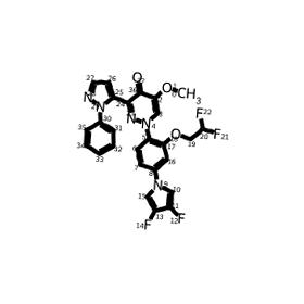 COc1cn(-c2ccc(-n3cc(F)c(F)c3)cc2OCC(F)F)nc(-c2ccnn2-c2ccccc2)c1=O